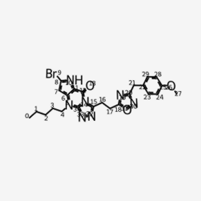 CCCCCn1c2cc(Br)[nH]c2c(=O)n2c(CCc3nc(Cc4ccc(OC)cc4)no3)nnc12